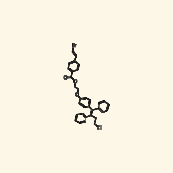 O=C(OCCOc1ccc(/C(=C(/CCCl)c2ccccc2)c2ccccc2)cc1)c1ccc(/C=C/Br)cc1